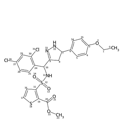 CCOc1ccc(C2CC(C(NS(=O)(=O)c3ccsc3C(=O)OC)c3ccc(Cl)cc3Cl)=NN2)cc1